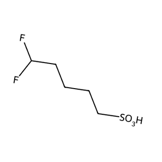 O=S(=O)(O)CCCCC(F)F